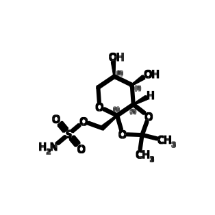 CC1(C)O[C@H]2[C@H](O)[C@H](O)CO[C@@]2(COS(N)(=O)=O)O1